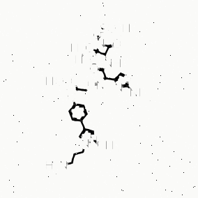 C[n+]1cc(-c2ccc(OC(CO/N=C(\C(=O)N[C@@H]3C(=O)N(OS(=O)(=O)O)C3(C)C)c3csc(N)n3)C(=O)O)cc2)cn1CCCN